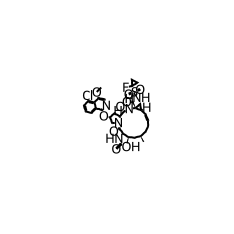 COc1cnc(O[C@@H]2C[C@H]3C(=O)N[C@]4(C(=O)NS(=O)(=O)C5(F)CC5)C[C@H]4/C=C\CC[C@@H](C)C[C@@H](C)[C@H](NC(=O)O)C(=O)N3C2)c2cccc(Cl)c12